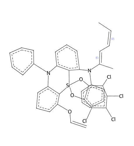 C=COc1cccc2c1[Si]1(Oc3c(Cl)c(Cl)c(Cl)c(Cl)c3O1)c1c(N(/C(C)=C/C=C\C)c3ccccc3)cccc1N2c1ccccc1